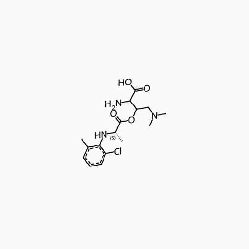 Cc1cccc(Cl)c1N[C@@H](C)C(=O)OC(CN(C)C)C(N)C(=O)O